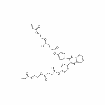 C=CC(=O)OCCOC(=O)CCC(=O)Oc1ccc(-c2nc3ccccc3nc2-c2ccc(OC(=O)CCC(=O)OCCOC(=O)C=C)cc2)cc1